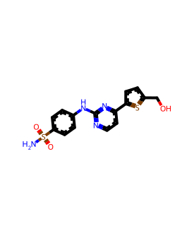 NS(=O)(=O)c1ccc(Nc2nccc(-c3ccc(CO)s3)n2)cc1